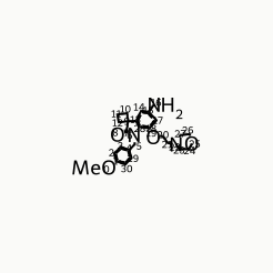 COc1ccc(CN2C(=O)C3(CCC3)c3cc(N)cc(OCCN4CCOCC4)c32)cc1